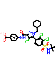 CC(C)(C)NS(=O)(=O)c1ccc(-c2c(Cl)c(C(=O)NC34CCC(C(=O)O)(CC3)CC4)nn2CC2CCCCC2)c(Cl)c1Cl